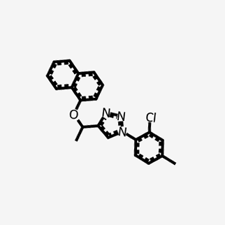 Cc1ccc(-n2cc(C(C)Oc3cccc4ccccc34)nn2)c(Cl)c1